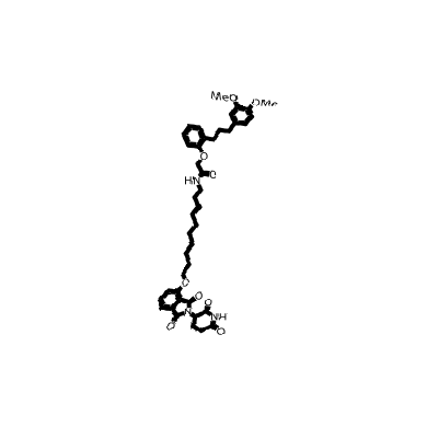 COc1ccc(CCCc2ccccc2OCC(=O)NCCCCCCCCCCOc2cccc3c2C(=O)N(C2CCC(=O)NC2=O)C3=O)cc1OC